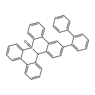 O=P12c3ccccc3-c3ccccc3N1c1ccc(-c3ccccc3-c3ccccc3)cc1-c1ccccc12